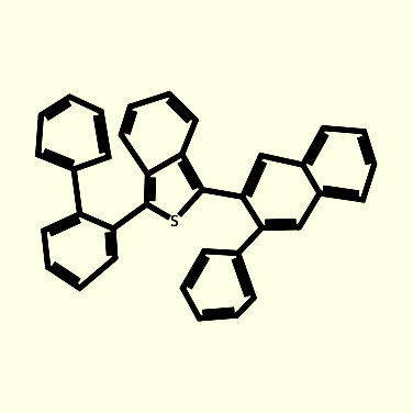 c1ccc(-c2ccccc2-c2sc(-c3cc4ccccc4cc3-c3ccccc3)c3ccccc23)cc1